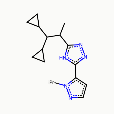 CC(c1nnc(-c2ccnn2C(C)C)[nH]1)C(C1CC1)C1CC1